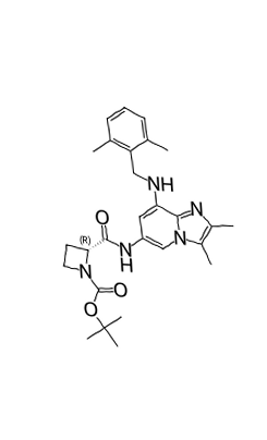 Cc1cccc(C)c1CNc1cc(NC(=O)[C@H]2CCN2C(=O)OC(C)(C)C)cn2c(C)c(C)nc12